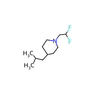 CC(C)CC1CCN(CC(F)F)CC1